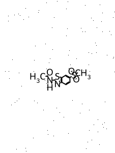 CC(=O)Nc1nc2ccc(S(C)(=O)=O)cc2s1